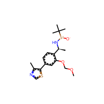 COCOc1cc(-c2scnc2C)ccc1[C@H](C)N[S@+]([O-])C(C)(C)C